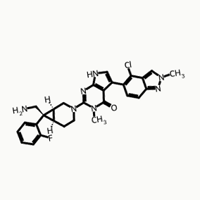 Cn1cc2c(Cl)c(-c3c[nH]c4nc(N5CC[C@@H]6[C@H](C5)[C@@]6(CN)c5ccccc5F)n(C)c(=O)c34)ccc2n1